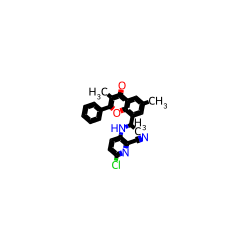 Cc1cc(C(C)Nc2ccc(Cl)nc2C#N)c2oc(-c3ccccc3)c(C)c(=O)c2c1